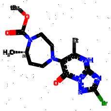 CCc1[nH]c2nc(Br)nn2c(=O)c1N1CC[C@H](C)N(C(=O)OC(C)(C)C)CC1